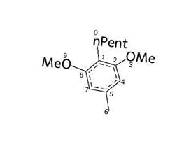 CCCCCc1c(OC)cc(C)cc1OC